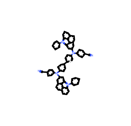 N#Cc1ccc(N(c2ccc(-c3ccc(N(c4ccc(C#N)cc4)c4cc5ccc6cccc7c6c5c(c4)n7-c4ccccc4)cc3)cc2)c2cc3ccc4cccc5c4c3c(c2)n5-c2ccccc2)cc1